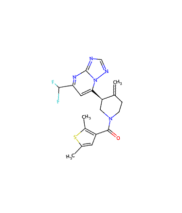 C=C1CCN(C(=O)c2cc(C)sc2C)C[C@H]1c1cc(C(F)F)nc2ncnn12